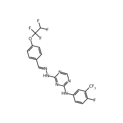 Fc1ccc(Nc2ncnc(N/N=C/c3ccc(OC(F)(F)C(F)F)cc3)n2)cc1C(F)(F)F